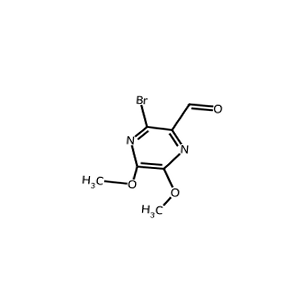 COc1nc(Br)c(C=O)nc1OC